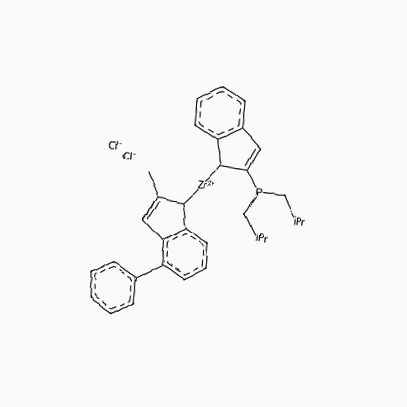 CC1=Cc2c(-c3ccccc3)cccc2[CH]1[Zr+2][CH]1C(P(CC(C)C)CC(C)C)=Cc2ccccc21.[Cl-].[Cl-]